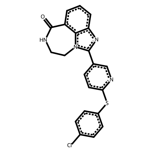 O=C1NCCn2c(-c3ccc(Sc4ccc(Cl)cc4)nc3)nc3cccc1c32